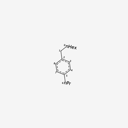 CCCCCCCc1ccc(CCC)cc1